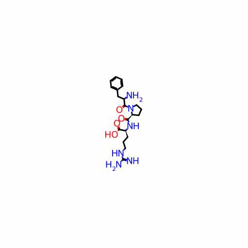 N=C(N)NCCC[C@H](NC(=O)[C@@H]1CCCN1C(=O)C(N)Cc1ccccc1)C(=O)O